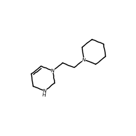 C1=CN(CCN2CCCCC2)CNC1